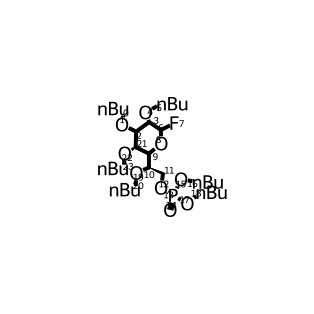 CCCCOC1[C@@H](OCCCC)C(F)OC([C@@H](COP(=O)(OCCCC)OCCCC)OCCCC)[C@H]1OCCCC